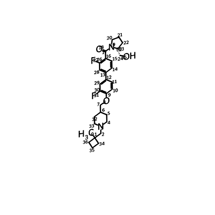 CC1(CN2CCC(COc3ccc(-c4ccc(C(=O)N5CCC[C@@H]5CO)c(F)c4)cc3F)CC2)CCC1